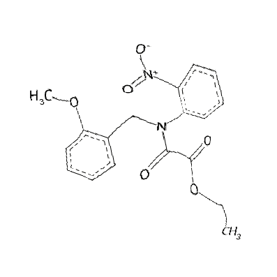 CCOC(=O)C(=O)N(Cc1ccccc1OC)c1ccccc1[N+](=O)[O-]